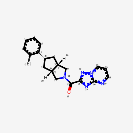 CCc1ccccc1[C@@H]1C[C@@H]2CN(C(=O)c3nc4ncccn4n3)C[C@@H]2C1